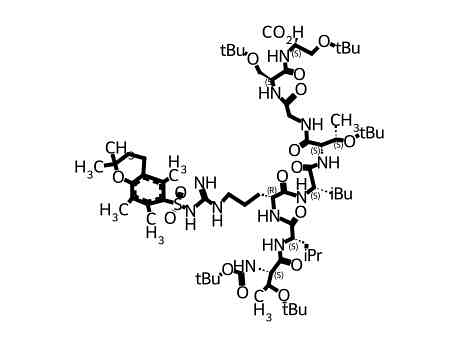 CCC(C)[C@H](NC(=O)[C@@H](CCCNC(=N)NS(=O)(=O)c1c(C)c(C)c2c(c1C)CCC(C)(C)O2)NC(=O)[C@H](CC(C)C)NC(=O)[C@@H](NC(=O)OC(C)(C)C)C(C)OC(C)(C)C)C(=O)N[C@H](C(=O)NCC(=O)N[C@@H](COC(C)(C)C)C(=O)N[C@@H](COC(C)(C)C)C(=O)O)[C@H](C)OC(C)(C)C